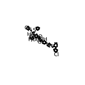 CC1(C)CCC(c2ccc(Cl)cc2)=C(CN2CCN(c3ccc(C(=O)NS(=O)(=O)c4ccc(N[C@@H](CCN5CCOCC5)CSc5ccccc5)c(S(=O)(=O)C(F)(F)F)c4)cc3)CC2)C1